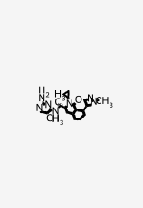 Cc1cnc(N)nc1N[C@@H](C)c1cc2cccc(-c3cnn(C)c3)c2c(=O)n1C1CC1